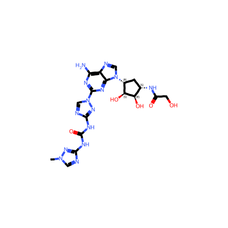 Cn1cnc(NC(=O)Nc2ncn(-c3nc(N)c4ncn([C@@H]5C[C@H](NC(=O)CO)[C@@H](O)[C@H]5O)c4n3)n2)n1